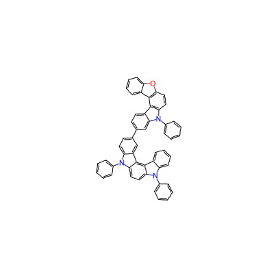 c1ccc(-n2c3cc(-c4ccc5c(c4)c4c6c7ccccc7n(-c7ccccc7)c6ccc4n5-c4ccccc4)ccc3c3c4c(ccc32)oc2ccccc24)cc1